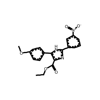 CCOC(=O)c1nc(-c2cccc([N+](=O)[O-])c2)[nH]c1-c1ccc(OC)cc1